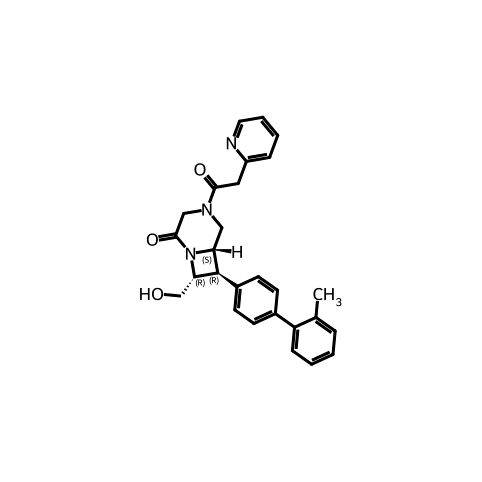 Cc1ccccc1-c1ccc([C@@H]2[C@H]3CN(C(=O)Cc4ccccn4)CC(=O)N3[C@H]2CO)cc1